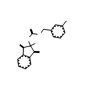 CC(=O)NC1(OC(=O)OCc2cccc(C(C)C)c2)C(=O)c2ccccc2C1=O